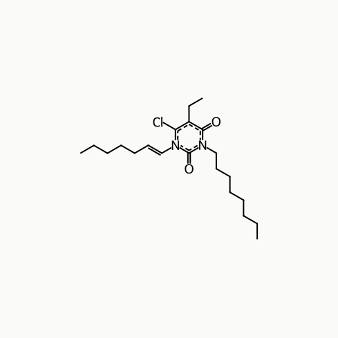 CCCCC/C=C/n1c(Cl)c(CC)c(=O)n(CCCCCCCC)c1=O